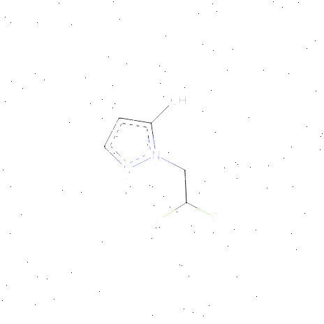 Cc1c[c]nn1CC(F)F